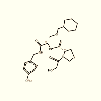 COc1ccc(CNC(=O)[C@H](CSCC2CCCCC2)NC(=O)[C@@H]2CSCN2C(=O)CO)cc1